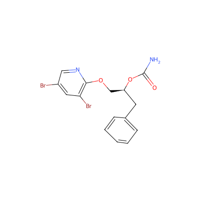 NC(=O)O[C@H](COc1ncc(Br)cc1Br)Cc1ccccc1